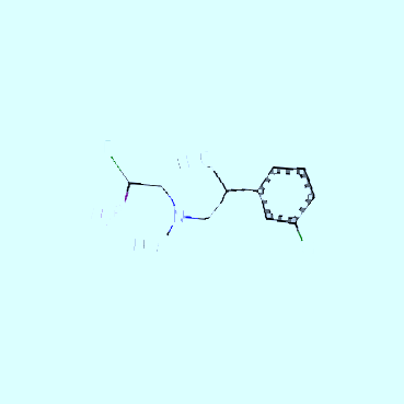 CC(CN(C)CC(F)P)c1cccc(Cl)c1